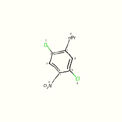 CCCc1cc(Cl)c([N+](=O)[O-])cc1Cl